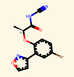 C[C@H](Oc1ccc(Br)cc1-c1ccon1)C(=O)NC#N